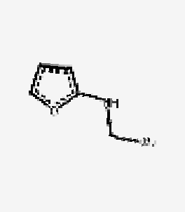 CC(C)(C)CNc1ccco1